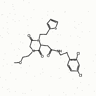 COCCN1CC(=O)N(CCc2cccs2)C(CC(=O)NCCc2ccc(Cl)cc2Cl)C1=O